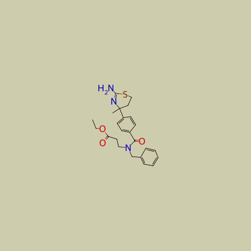 CCOC(=O)CCN(Cc1ccccc1)C(=O)c1ccc(C2(C)CCSC(N)=N2)cc1